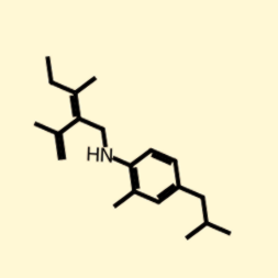 C=C(C)/C(CNc1ccc(CC(C)C)cc1C)=C(/C)CC